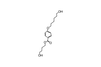 O=C(OCCCCO)c1ccc(OCCCCCCO)cc1